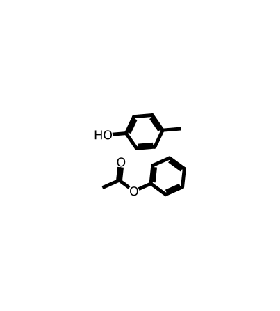 CC(=O)Oc1ccccc1.Cc1ccc(O)cc1